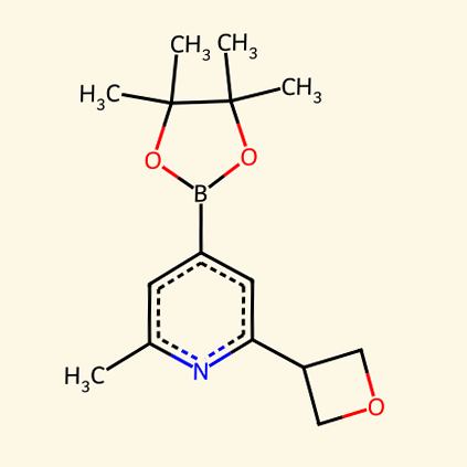 Cc1cc(B2OC(C)(C)C(C)(C)O2)cc(C2COC2)n1